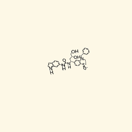 O=C(Nc1ccc2cc[nH]c2c1)NC(CC(O)CO)c1ccc2c(c1)N(Cc1ccccc1)CC[S+]2[O-]